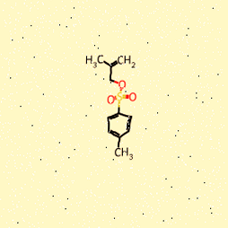 C=C(C)COS(=O)(=O)c1ccc(C)cc1